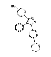 CC(C)(C)c1ccc(-c2nnc(-c3ccc(C4=CCCC=C4)cc3)n2-c2ccccc2)cc1